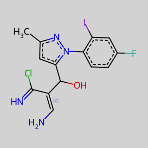 Cc1cc(C(O)/C(=C/N)C(=N)Cl)n(-c2ccc(F)cc2I)n1